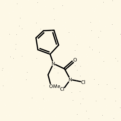 COCN(C(=O)N(Cl)Cl)c1ccccc1